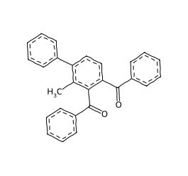 Cc1c(-c2ccccc2)ccc(C(=O)c2ccccc2)c1C(=O)c1ccccc1